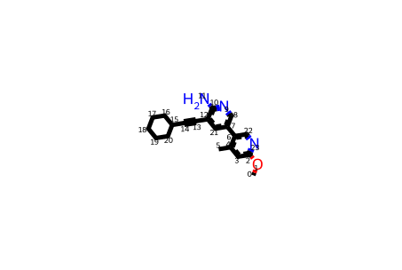 COc1cc(C)c(-c2cnc(N)c(C#CC3CCCCC3)c2)cn1